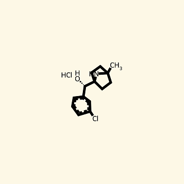 CC12CCC([C@@H](O)c3cccc(Cl)c3)(CC1)N2.Cl